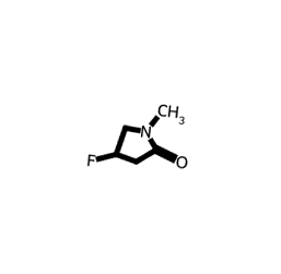 CN1CC(F)CC1=O